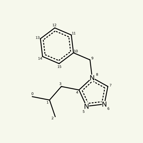 CC(C)Cc1nncn1Cc1ccccc1